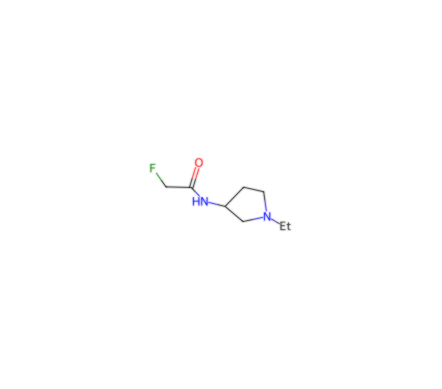 CCN1CCC(NC(=O)CF)C1